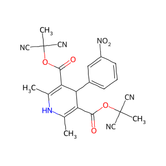 CC1=C(C(=O)OC(C)(C#N)C#N)C(c2cccc([N+](=O)[O-])c2)C(C(=O)OC(C)(C#N)C#N)=C(C)N1